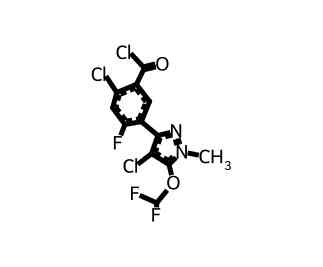 Cn1nc(-c2cc(C(=O)Cl)c(Cl)cc2F)c(Cl)c1OC(F)F